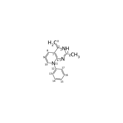 C=C1NC(C)=NC2=C1C=C=CN2c1ccccc1